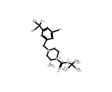 C[C@@H]1CN(Cc2cc(F)cc(C(F)(F)F)c2)CCN1C(=O)OC(C)(C)C